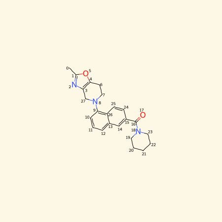 Cc1nc2c(o1)CCN(c1cccc3cc(C(=O)N4CCCCC4)ccc13)C2